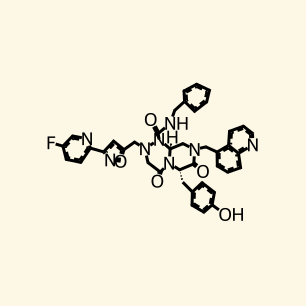 O=C1[C@H](Cc2ccc(O)cc2)N2C(=O)CN(Cc3cc(-c4ccc(F)cn4)no3)N(C(=O)NCc3ccccc3)[C@H]2CN1Cc1cccc2ncccc12